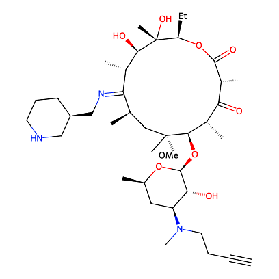 C#CCCN(C)[C@H]1C[C@@H](C)O[C@@H](O[C@@H]2[C@@H](C)C(=O)[C@@H](C)C(=O)O[C@H](CC)[C@@](C)(O)[C@H](O)[C@@H](C)/C(=N/C[C@@H]3CCCNC3)[C@H](C)C[C@@]2(C)OC)[C@@H]1O